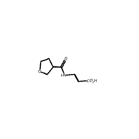 O=C(O)CCNC(=O)[C]1CCOC1